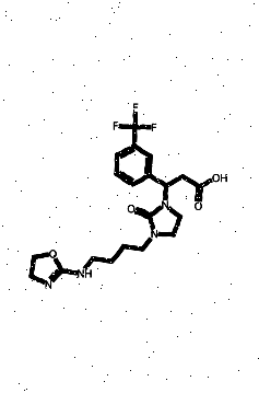 O=C(O)CC(c1cccc(C(F)(F)F)c1)N1CCN(CCCCNC2=NCCO2)C1=O